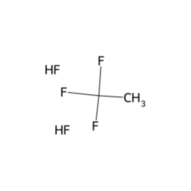 CC(F)(F)F.F.F